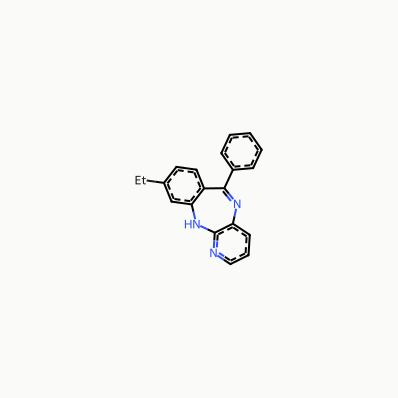 CCc1ccc2c(c1)Nc1ncccc1N=C2c1ccccc1